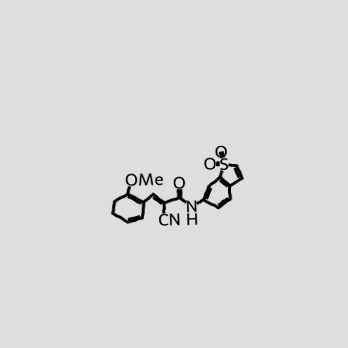 COC1=C(/C=C(\C#N)C(=O)Nc2ccc3c(c2)S(=O)(=O)C=C3)C=CCC1